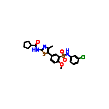 COc1ccc(-c2sc(NC(=O)C3CCCC3)nc2C)cc1S(=O)(=O)Nc1cccc(Cl)c1